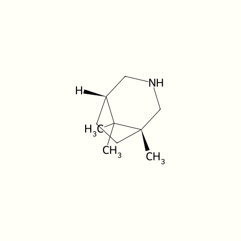 CC1(C)[C@@H]2CC[C@@]1(C)CNC2